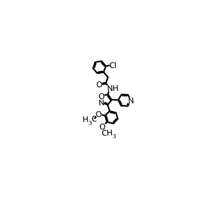 COc1cccc(-c2noc(NC(=O)Cc3ccccc3Cl)c2-c2ccncc2)c1OC